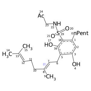 CCCCCc1cc(O)c(C/C=C(\C)CCC=C(C)C)c(O)c1S(=O)(=O)NCC(C)=O